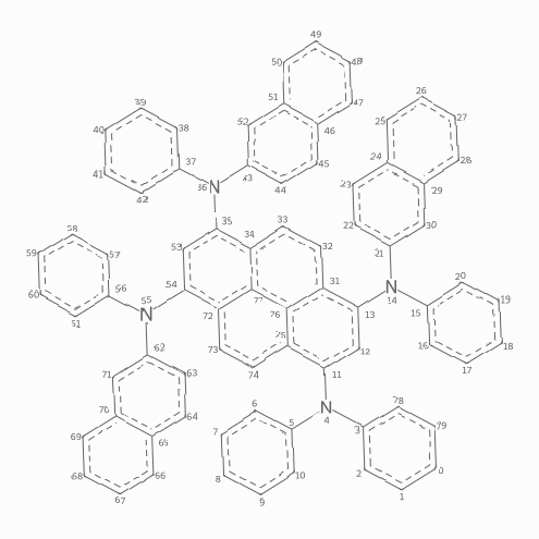 c1ccc(N(c2ccccc2)c2cc(N(c3ccccc3)c3ccc4ccccc4c3)c3ccc4c(N(c5ccccc5)c5ccc6ccccc6c5)cc(N(c5ccccc5)c5ccc6ccccc6c5)c5ccc2c3c54)cc1